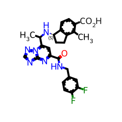 Cc1c(C(=O)O)ccc2c1CC[C@@H]2NC(C)c1cc(C(=O)NCc2ccc(F)c(F)c2)nc2ncnn12